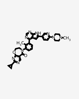 Cc1c(-c2ncnc3[nH]c(-c4ccc(N5CCN(C)CC5)nc4)cc23)cccc1N1CCOc2nc(C3CC3)ncc2C1=O